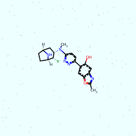 Cc1nc2cc(O)c(-c3ccc(N(C)[C@H]4C[C@@H]5CC[C@@H](N5)[C@H]4F)nn3)cc2o1